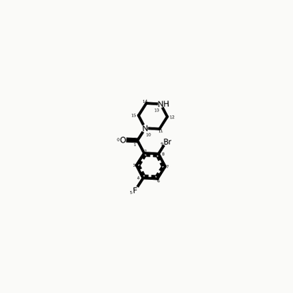 O=C(c1cc(F)ccc1Br)N1CCNCC1